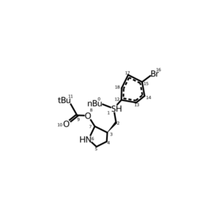 CCCC[SH](C[C@H]1CCNC1OC(=O)C(C)(C)C)c1ccc(Br)cc1